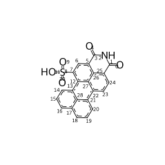 O=C1NC(=O)c2cc(S(=O)(=O)O)c3c4cccc5cccc(c6ccc1c2c63)c54